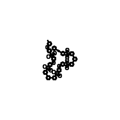 Cc1cccc(Oc2ccc(N3C(=O)c4ccc(Oc5ccc6c(c5)C(=O)N(c5cccc(-c7cccc(-c8cccc(N9C(=O)c%10ccc(Oc%11ccc%12c(c%11)C(=O)N(c%11cccc(-c%13cccc(-c%14cccc(N%15C(=O)c%16ccc(C#Cc%17ccccc%17)cc%16C%15=O)c%14)c%13)c%11)C%12=O)cc%10C9=O)c8)c7)c5)C6=O)cc4C3=O)cc2)c1